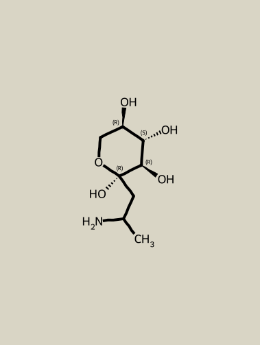 CC(N)C[C@@]1(O)OC[C@@H](O)[C@H](O)[C@H]1O